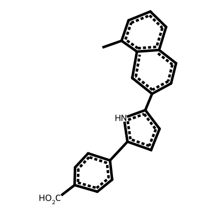 Cc1cccc2ccc(-c3ccc(-c4ccc(C(=O)O)cc4)[nH]3)cc12